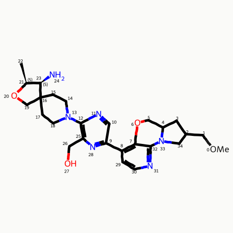 COCC1CC2COc3c(-c4cnc(N5CCC6(CC5)CO[C@@H](C)[C@H]6N)c(CO)n4)ccnc3N2C1